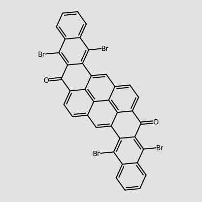 O=c1c2ccc3cc4c5c(Br)c6ccccc6c(Br)c5c(=O)c5ccc6cc(c7c(Br)c8ccccc8c(Br)c17)c2c3c6c54